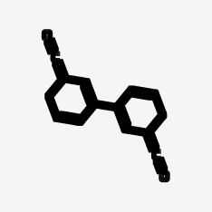 O=C=C1C=C(C2=CC(=C=O)CC=C2)C=CC1